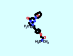 CN(C)C(=O)COc1ccc(CCN2c3nc(N4CC5CCC(C4)O5)cc(=O)n3C[C@@]2(C)C(F)(F)F)cc1